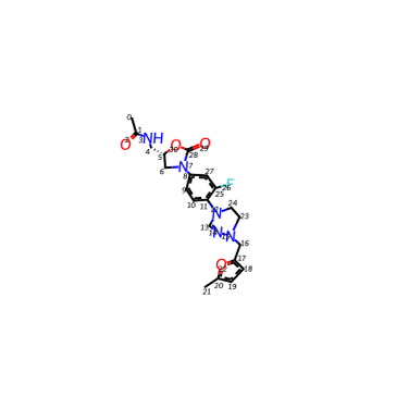 CC(=O)NC[C@H]1CN(c2ccc(N3C=NN(Cc4ccc(C)o4)CC3)c(F)c2)C(=O)O1